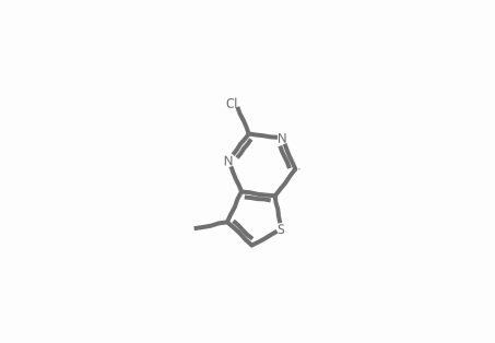 Cc1csc2[c]nc(Cl)nc12